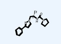 CC[C@@H](Cn1ccc(-c2ccccc2)n1)NC(=O)N1CCCC1